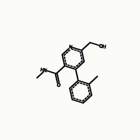 CNC(=O)c1cnc(CO)cc1-c1ccccc1C